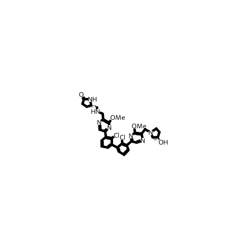 COc1nc(-c2cccc(-c3cccc(-c4cnc(CN5CC[C@@H](O)C5)c(OC)n4)c3Cl)c2Cl)cnc1CNC[C@@H]1CCC(=O)N1